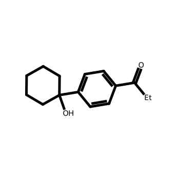 CCC(=O)c1ccc(C2(O)CCCCC2)cc1